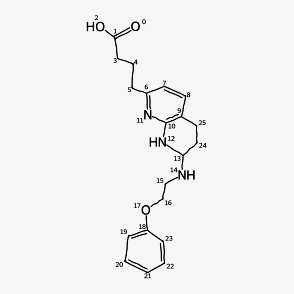 O=C(O)CCCc1ccc2c(n1)NC(NCCOc1ccccc1)CC2